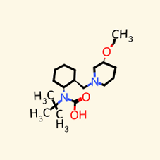 CCO[C@@H]1CCCN(C[C@@H]2CCCC[C@H]2N(C(=O)O)C(C)(C)C)C1